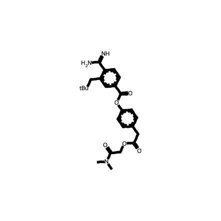 CN(C)C(=O)COC(=O)Cc1ccc(OC(=O)c2ccc(C(=N)N)c(CC(C)(C)C)c2)cc1